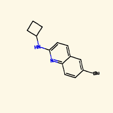 CC(C)(C)c1ccc2nc(NC3CCC3)ccc2c1